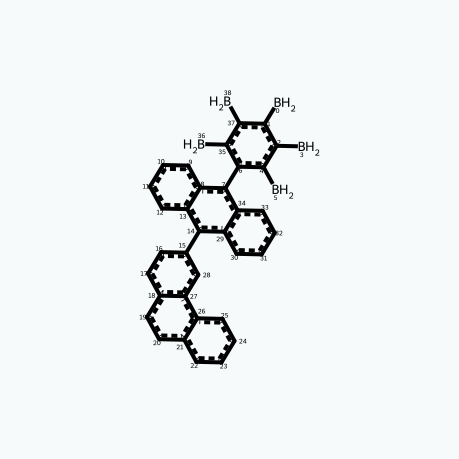 Bc1c(B)c(B)c(-c2c3ccccc3c(-c3ccc4ccc5ccccc5c4c3)c3ccccc23)c(B)c1B